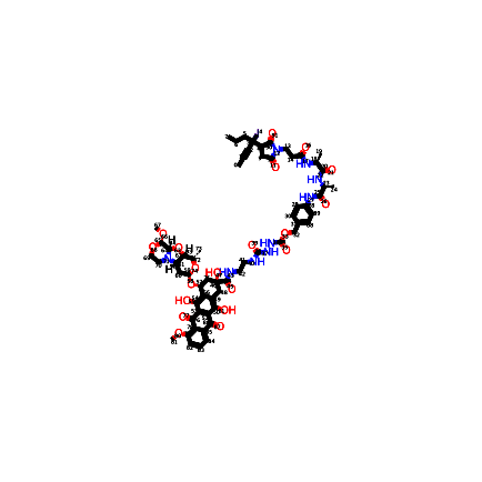 CC#CC(I)(CCC)C1CC(=O)N(CCC(=O)N[C@@H](C)C(=O)N[C@@H](C)C(=O)Nc2ccc(COC(=O)NNC(=O)NCCNC(=O)[C@]3(O)Cc4c(O)c5c(c(O)c4[C@@H](O[C@H]4C[C@H]6[C@H](O[C@@H]7[C@@H](OC)OCCN76)[C@H](C)O4)C3)C(=O)c3c(OC)cccc3C5=O)cc2)C1=O